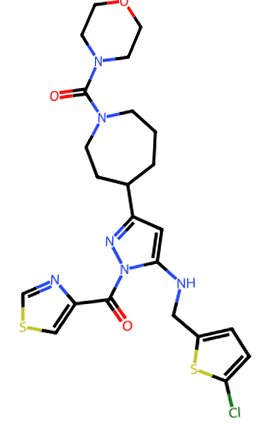 O=C(N1CCOCC1)N1CCCC(c2cc(NCc3ccc(Cl)s3)n(C(=O)c3cscn3)n2)CC1